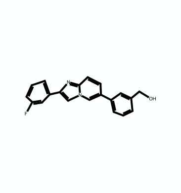 OCc1cccc(-c2ccc3nc(-c4cccc(F)c4)cn3c2)c1